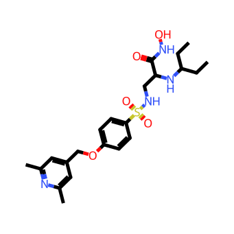 CCC(CC)NC(CNS(=O)(=O)c1ccc(OCc2cc(C)nc(C)c2)cc1)C(=O)NO